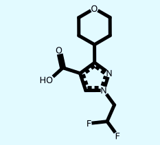 O=C(O)c1cn(CC(F)F)nc1C1CCOCC1